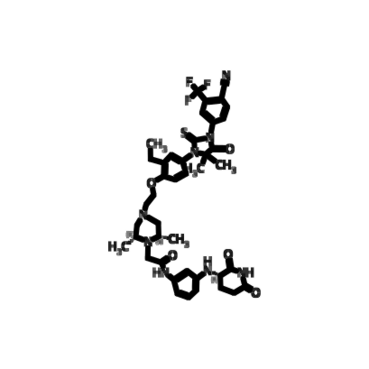 CCc1cc(N2C(=S)N(c3ccc(C#N)c(C(F)(F)F)c3)C(=O)C2(C)C)ccc1OCCN1C[C@@H](C)N(CC(=O)Nc2cccc(N[C@H]3CCC(=O)NC3=O)c2)[C@@H](C)C1